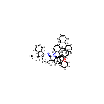 CC1(C)C2=C(N=C(n3c4cc5ccccc5cc4c4c5c(ccc43)C3=CC=CCC3c3ccccc3-5)C3(c4ccc5oc6ccccc6c5c4)CC3C2)c2ccccc21